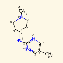 Cc1cnc(NC2CCN(C)CC2)nc1